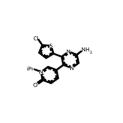 CC(C)n1cc(-c2ncc(N)nc2-c2ccc(Cl)s2)ccc1=O